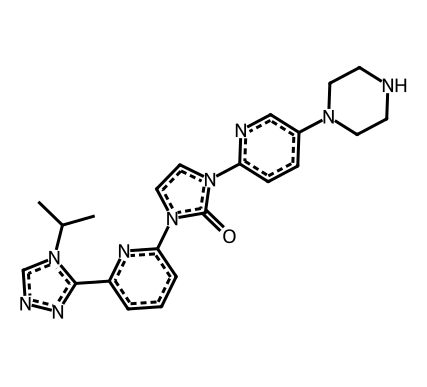 CC(C)n1cnnc1-c1cccc(-n2ccn(-c3ccc(N4CCNCC4)cn3)c2=O)n1